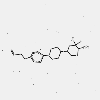 C=CCCc1ccc(C2CCC(C3CCC(CCC)C(F)(F)C3)CC2)cc1